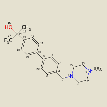 CC(=O)N1CCN(Cc2ccc(-c3ccc(C(C)(O)C(F)(F)F)cc3)cc2)CC1